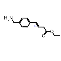 CCOC(=O)C/C=C/c1ccc(CN)cc1